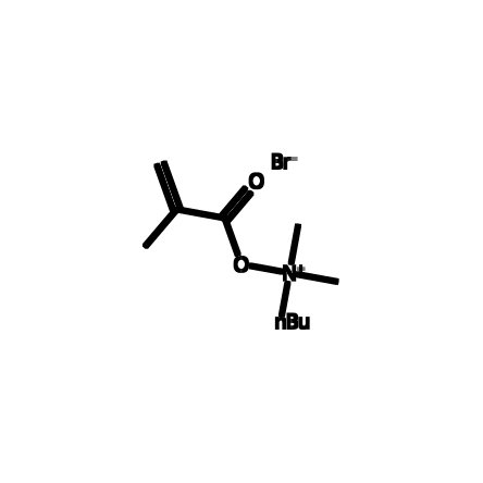 C=C(C)C(=O)O[N+](C)(C)CCCC.[Br-]